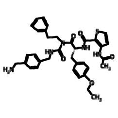 CCOc1ccc(C[C@@H](NC(=O)c2sccc2NC(C)=O)C(=O)N(CCc2ccccc2)C(=O)NCc2ccc(CN)cc2)cc1